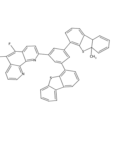 CC12C=CC=CC1c1cccc(-c3cc(-c4ccc5c(F)c(F)c6cccnc6c5n4)cc(-c4cccc5c4sc4ccccc45)c3)c1S2